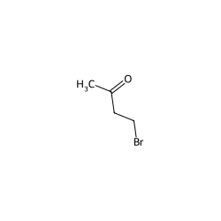 CC(=O)CCBr